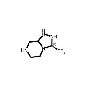 FC(F)(F)[C@@H]1NNC2CNCCN21